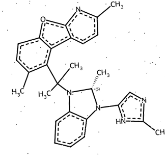 Cc1ccc2c(n1)oc1ccc(C)c(C(C)(C)N3c4ccccc4N(c4cnc(C)[nH]4)[C@H]3C)c12